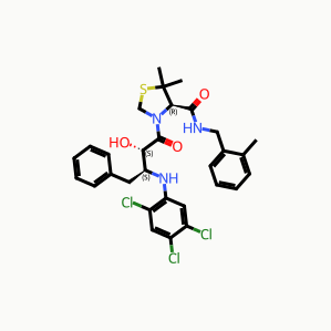 Cc1ccccc1CNC(=O)[C@H]1N(C(=O)[C@@H](O)[C@H](Cc2ccccc2)Nc2cc(Cl)c(Cl)cc2Cl)CSC1(C)C